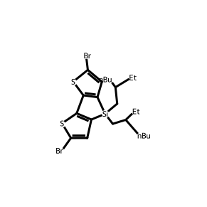 CCCCC(CC)C[Si]1(CC(CC)CCCC)c2cc(Br)sc2-c2sc(Br)cc21